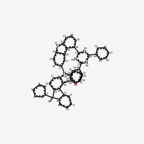 CC1(c2ccccc2)c2ccccc2-c2c1ccc1c2c2ccccc2n1-c1ccc2sc3cccc(-c4nc(-c5ccccc5)nc(-c5ccccc5)n4)c3c2c1